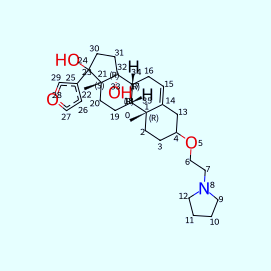 C[C@]12CCC(OCCN3CCCC3)CC1=CC[C@@H]1[C@H]2CC[C@]2(C)C(O)(c3ccoc3)CC[C@@]12O